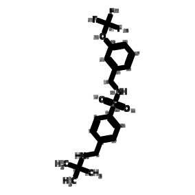 CC(C)(C)NCc1ccc(S(=O)(=O)NCc2cccc(OC(F)(F)F)c2)cc1